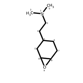 C[Si](C)CCC1CCC2OC2C1